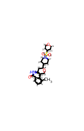 Cc1cccc2c(=O)[nH]c3c(c12)COC(C1CCN(S(=O)(=O)C2CCOCC2)CC1)C3